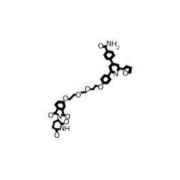 NC(=O)c1ccc(-c2cc(-c3ccc(OCCOCCOCCOc4ccc5c(c4)C(=O)N(C4CCC(=O)NC4=O)C5=O)cc3)nc(-c3ccco3)c2)cc1